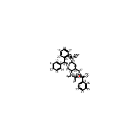 CC(=O)N(C)C1CN(C(c2ccccc2)c2ccccc2)C([N+](=O)[O-])CC1CNC(=O)c1ccccc1